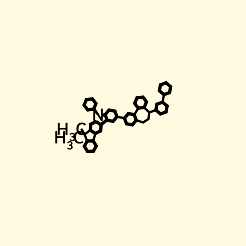 CC1(C)c2ccccc2-c2cc3c4cc(-c5ccc6c(c5)-c5ccccc5C(c5cccc(-c7ccccc7)c5)CC6)ccc4n(-c4ccccc4)c3cc21